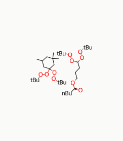 CC1CC(C)(C)CC(OOC(C)(C)C)(OOC(C)(C)C)C1.CCCCC(=O)OCCCC(OOC(C)(C)C)OOC(C)(C)C